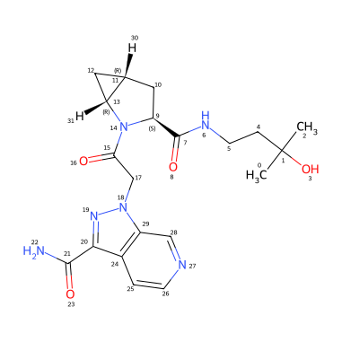 CC(C)(O)CCNC(=O)[C@@H]1C[C@H]2C[C@H]2N1C(=O)Cn1nc(C(N)=O)c2ccncc21